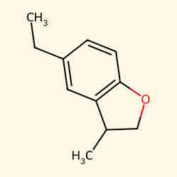 CCc1ccc2c(c1)C(C)CO2